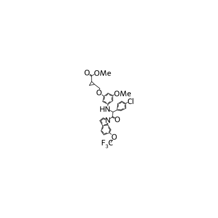 COC(=O)C1CC1COc1cc(NC(C(=O)n2ccc3ccc(OC(F)(F)F)cc32)c2ccc(Cl)cc2)cc(OC)c1